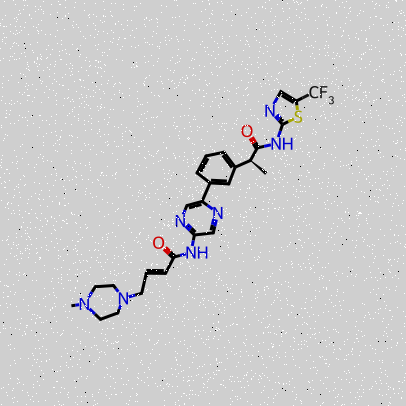 C[C@H](C(=O)Nc1ncc(C(F)(F)F)s1)c1cccc(-c2cnc(NC(=O)/C=C/CN3CCN(C)CC3)cn2)c1